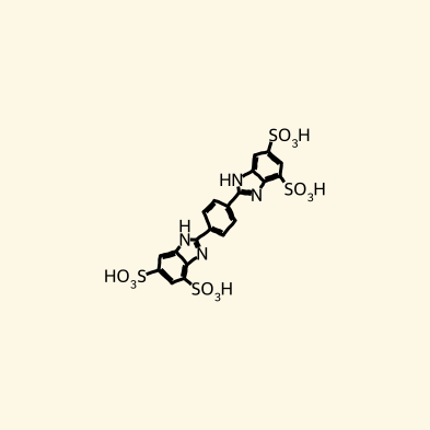 O=S(=O)(O)c1cc(S(=O)(=O)O)c2nc(-c3ccc(-c4nc5c(S(=O)(=O)O)cc(S(=O)(=O)O)cc5[nH]4)cc3)[nH]c2c1